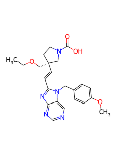 CCOC[C@]1(/C=C/c2nc3ncncc3n2Cc2ccc(OC)cc2)CCN(C(=O)O)C1